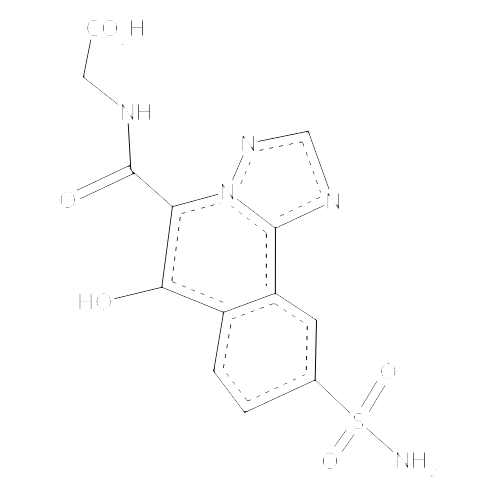 NS(=O)(=O)c1ccc2c(O)c(C(=O)NCC(=O)O)n3ncnc3c2c1